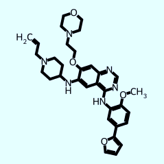 C=CCN1CCC(Nc2cc3c(Nc4cc(-c5ccco5)ccc4OC)ncnc3cc2OCCN2CCOCC2)CC1